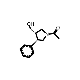 CC(=O)N1C[C@@H](CO)[C@H](c2ccccc2)C1